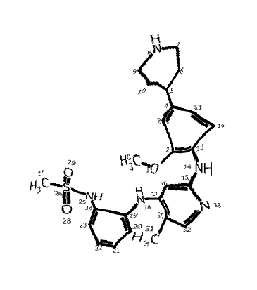 COc1cc(C2CCNCC2)ccc1Nc1cc(Nc2ccccc2NS(C)(=O)=O)c(C)cn1